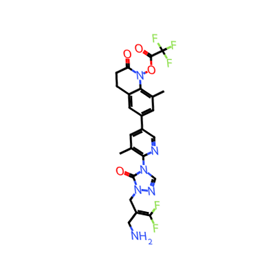 Cc1cc(-c2cc(C)c3c(c2)CCC(=O)N3OC(=O)C(F)(F)F)cnc1-n1cnn(CC(CN)=C(F)F)c1=O